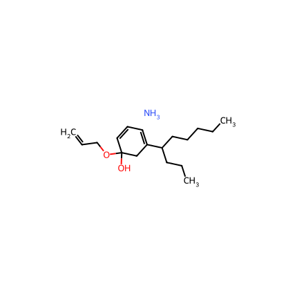 C=CCOC1(O)C=CC=C(C(CCC)CCCCC)C1.N